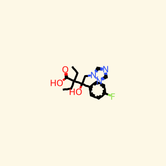 CCC(CC)(C(=O)O)C(O)(Cn1cncn1)c1ccc(F)cc1